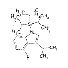 CC(C)c1cn([Si](C(C)C)(C(C)C)C(C)C)c2cccc(F)c12